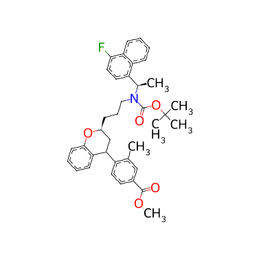 COC(=O)c1ccc(C2C[C@H](CCCN(C(=O)OC(C)(C)C)[C@H](C)c3ccc(F)c4ccccc34)Oc3ccccc32)c(C)c1